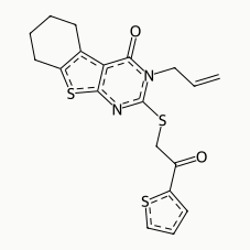 C=CCn1c(SCC(=O)c2cccs2)nc2sc3c(c2c1=O)CCCC3